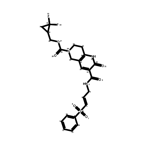 O=C(NC/C=C/S(=O)(=O)c1ccccc1)c1cc2c([nH]c1=O)CCN(C(=O)OCC1CC1(F)F)C2